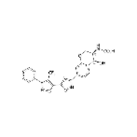 O=C(O)N[C@@H]1COc2cc(-c3noc(-c4onc(-c5ccccc5)c4C(F)(F)F)n3)ccc2[C@@H]1O